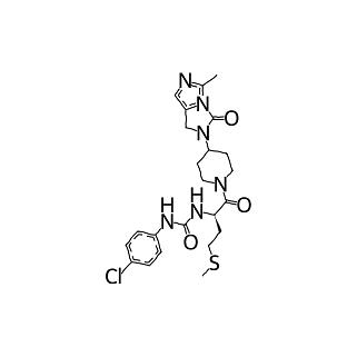 CSCC[C@@H](NC(=O)Nc1ccc(Cl)cc1)C(=O)N1CCC(N2Cc3cnc(C)n3C2=O)CC1